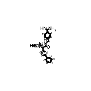 CCO[C@H](C(=O)NCc1ccc(C(=N)N)cc1)c1nc(-c2ccccc2)no1.Cl.Cl